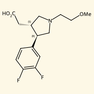 COCCN1C[C@@H](CC(=O)O)[C@H](c2ccc(F)c(F)c2)C1